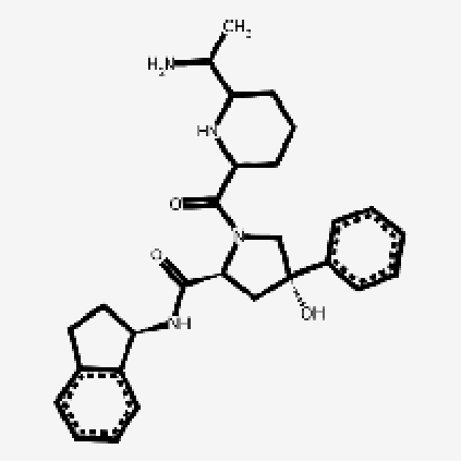 CC(N)C1CCCC(C(=O)N2C[C@@](O)(c3ccccc3)C[C@H]2C(=O)N[C@@H]2CCc3ccccc32)N1